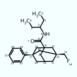 CCC(CC)NC(=O)C12CC3C[C@@](CF)(C1)C[C@](c1ccccc1)(C3)C2